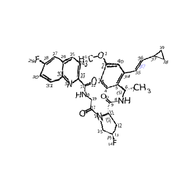 COc1ccc([C@H](C)NC(=O)[C@@H]2C[C@@H](F)CN2C(=O)CNC(=O)c2ccc3cc(F)ccc3n2)c(/C=C/C2CC2)c1